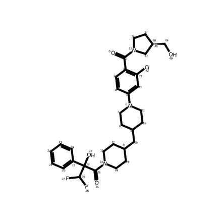 O=C(c1ccc(N2CCC(CC3CCN(C(=O)C(O)(c4ccccc4)C(F)F)CC3)CC2)cc1Cl)N1CC[C@@H](CO)C1